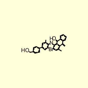 C=C1c2ccccc2C(=O)c2c(Nc3c(C)cc(-c4ccc(CO)cc4)cc3Br)ccc(C)c21